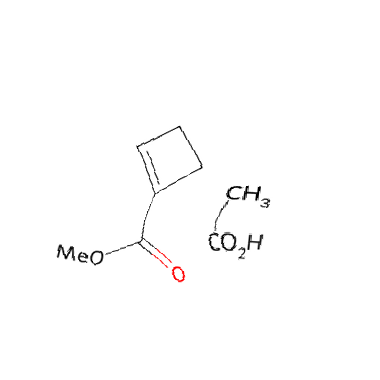 CC(=O)O.COC(=O)C1=CCC1